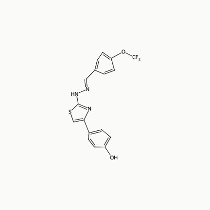 Oc1ccc(-c2csc(NN=Cc3ccc(OC(F)(F)F)cc3)n2)cc1